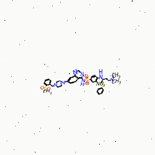 CN(C)CCC(CSc1ccccc1)Nc1ccc(S(=O)(=O)Nc2ncnc3cc(N4CCN(Cc5ccccc5S(C)(=O)=O)CC4)ccc23)cc1[N+](=O)[O-]